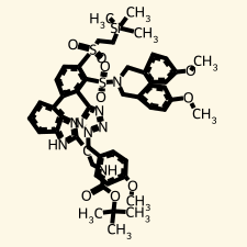 COc1ccc(CN(Cc2ccc(OC)cc2)S(=O)(=O)c2c(S(=O)(=O)CC[Si](C)(C)C)ccc(-c3cccc4[nH]c(CCNC(=O)OC(C)(C)C)nc34)c2-c2nnn(Cc3ccc(OC)cc3)n2)cc1